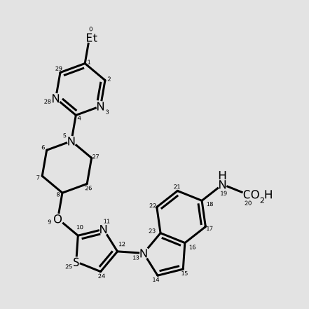 CCc1cnc(N2CCC(Oc3nc(-n4ccc5cc(NC(=O)O)ccc54)cs3)CC2)nc1